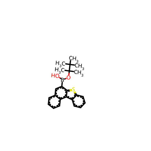 CC(C)(C)C(C)(C)OB(O)c1cc2ccccc2c2c1sc1ccccc12